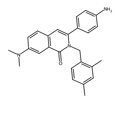 Cc1ccc(Cn2c(-c3ccc(N)cc3)cc3ccc(N(C)C)cc3c2=O)c(C)c1